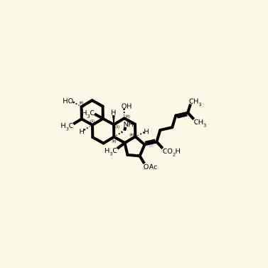 CC(=O)OC1CC2(C)[C@@H](C[C@@H](O)[C@H]3C4(C)CC[C@@H](O)C(C)[C@@H]4CC[C@@]32CN)/C1=C(\CCC=C(C)C)C(=O)O